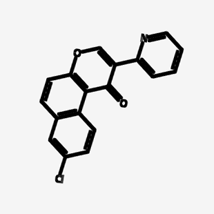 O=c1c(-c2ccccn2)coc2ccc3cc(Cl)ccc3c12